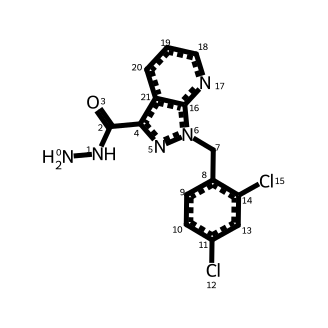 NNC(=O)c1nn(Cc2ccc(Cl)cc2Cl)c2ncccc12